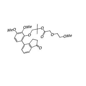 COCCOCC(=O)OC(C)(C)COc1c(-c2cccc3c2CCC3=O)ccc(OC)c1OC